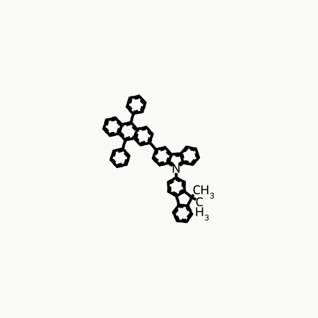 CC1(C)c2ccccc2-c2ccc(-n3c4ccccc4c4cc(-c5ccc6c(-c7ccccc7)c7ccccc7c(-c7ccccc7)c6c5)ccc43)cc21